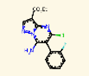 CCOC(=O)c1cnn2c(N)c(-c3ccccc3F)c(Cl)nc12